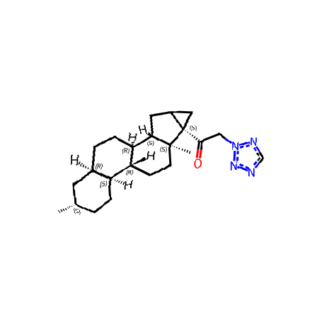 C[C@H]1CC[C@H]2[C@H](CC[C@@H]3[C@@H]2CC[C@@]2(C)[C@H]3CC3C[C@]32C(=O)Cn2ncnn2)C1